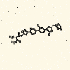 C[C@H](NC[C@@H]1CC(c2ccc(-c3ccc(N4C[C@H](Cn5ccnn5)OC4=O)cc3F)cn2)=NO1)C(N)=O